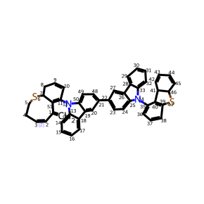 C=C1/C=C\CCSC2CC=CC(n3c4ccccc4c4cc(-c5ccc6c(c5)c5ccccc5n6-c5cccc6c5C5C=CC=CC5S6)ccc43)=C12